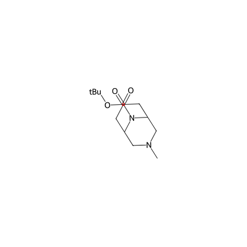 CN1CC2CC(=O)CC(C1)N2C(=O)OC(C)(C)C